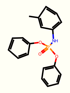 Cc1cccc(NP(=O)(Oc2ccccc2)Oc2ccccc2)c1